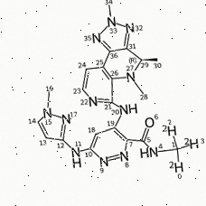 [2H]C([2H])([2H])NC(=O)c1nnc(Nc2ccn(C)n2)cc1Nc1nccc2c1N(C)[C@H](C)c1nn(C)nc1-2